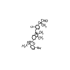 Cc1c(C)n(Cc2ccc(O[C@H](C)C=O)cc2Cl)c2ccc(C(=O)N[C@@H](C)c3cccc(C(C)C)c3)cc12